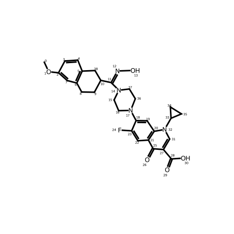 COc1ccc2c(c1)CCC(C(=NO)N1CCN(c3cc4c(cc3F)c(=O)c(C(=O)O)cn4C3CC3)CC1)C2